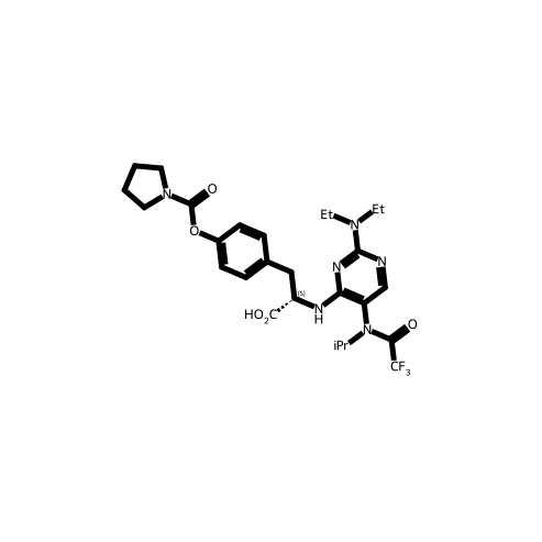 CCN(CC)c1ncc(N(C(=O)C(F)(F)F)C(C)C)c(N[C@@H](Cc2ccc(OC(=O)N3CCCC3)cc2)C(=O)O)n1